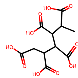 CC(C(=O)O)C(C(=O)O)C(C(=O)O)C(CC(=O)O)C(=O)O